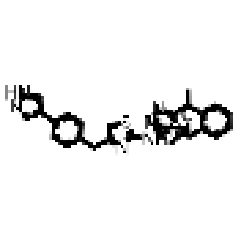 CC12CC(C)(C(=O)Nc3nc(Cc4ccc(-c5cn[nH]c5)cc4)cs3)C(c3ccccc31)n1cnnc12